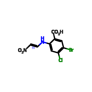 O=C(O)c1cc(Br)c(Cl)cc1N/C=C/[N+](=O)[O-]